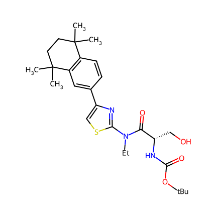 CCN(C(=O)[C@H](CO)NC(=O)OC(C)(C)C)c1nc(-c2ccc3c(c2)C(C)(C)CCC3(C)C)cs1